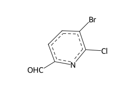 O=Cc1ccc(Br)c(Cl)n1